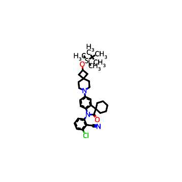 CC(C)(C)[Si](C)(C)OC1CC2(CCN(c3ccc4c(c3)C3(CCCCC3)C(=O)N4c3cccc(Cl)c3C#N)CC2)C1